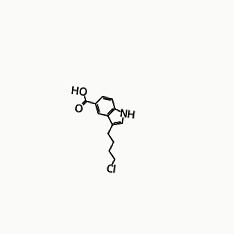 O=C(O)c1ccc2[nH]cc(CCCCCl)c2c1